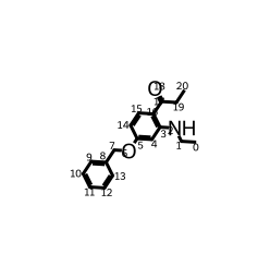 CCNc1cc(OCc2ccccc2)ccc1C(=O)CC